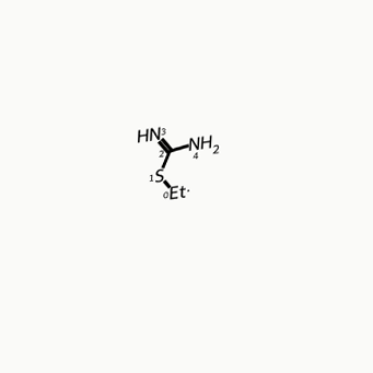 C[CH]SC(=N)N